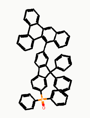 O=P(c1ccccc1)(c1ccccc1)c1ccc2c(c1)C(c1ccccc1)(c1ccccc1)c1cc(-c3c4ccccc4cc4c5ccccc5c5ccccc5c34)ccc1-2